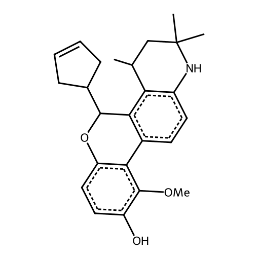 COc1c(O)ccc2c1-c1ccc3c(c1C(C1CC=CC1)O2)C(C)CC(C)(C)N3